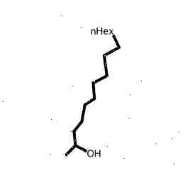 CCCCCCCCCCCCC[CH]C(C)O